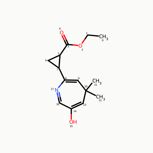 CCOC(=O)C1CC1C1=CC(C)(C)C=C(O)C=N1